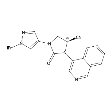 CC(C)n1cc(N2C[C@@H](C#N)N(c3cncc4ccccc34)C2=O)cn1